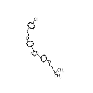 CN(C)CCCOc1ccc(-n2cnc(-c3ccc(OCCc4ccc(Cl)cc4)cc3)c2)cc1